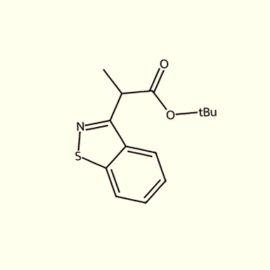 CC(C(=O)OC(C)(C)C)c1nsc2ccccc12